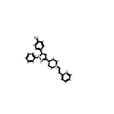 Clc1ccc(C2CC(C3CCN(CCc4ccccn4)CC3)=NN2c2ccccc2)cc1